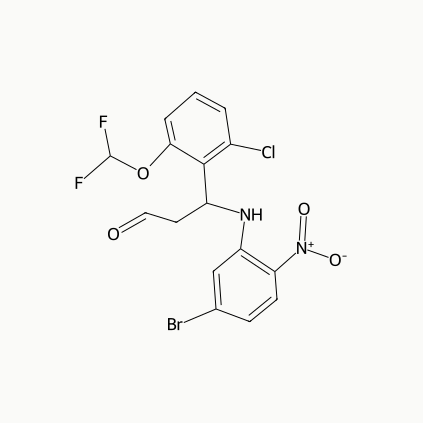 O=CCC(Nc1cc(Br)ccc1[N+](=O)[O-])c1c(Cl)cccc1OC(F)F